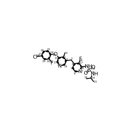 Cc1c(Cc2ccnc(NS(=O)(=O)NC(C)C)c2F)cncc1Oc1ccc(Cl)cc1F